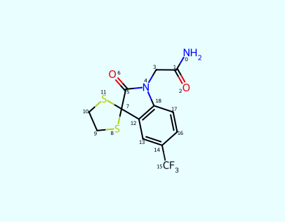 NC(=O)CN1C(=O)C2(SCCS2)c2cc(C(F)(F)F)ccc21